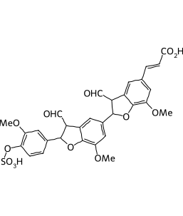 COc1cc(C2Oc3c(OC)cc(C4Oc5c(OC)cc(/C=C/C(=O)O)cc5C4C=O)cc3C2C=O)ccc1OS(=O)(=O)O